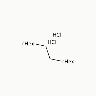 CCCCCCCCCCCCCC.Cl.Cl